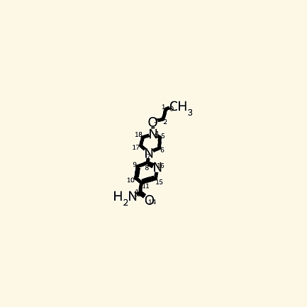 CCCON1CCN(c2ccc(C(N)=O)cn2)CC1